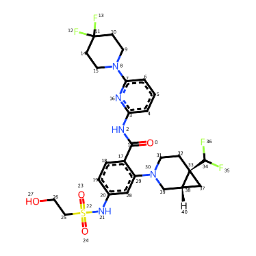 O=C(Nc1cccc(N2CCC(F)(F)CC2)n1)c1ccc(NS(=O)(=O)CCO)cc1N1CC[C@]2(C(F)F)C[C@@H]2C1